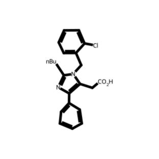 CCCCc1nc(-c2ccccc2)c(CC(=O)O)n1Cc1ccccc1Cl